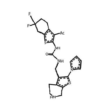 CC(=O)c1c(NC(=O)NCc2c(-n3cccc3)sc3c2CCNC3)sc2c1CCC(F)(F)C2